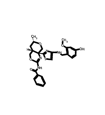 COc1cc(O)ccc1CNc1csc([C@]23CO[C@@H](C)C[C@H]2COC(NC(=O)c2ccccc2)=N3)n1